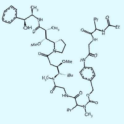 CCC(=O)NC(C(=O)NCC(=O)Nc1ccc(COC(=O)N(C)C(C(=O)NCC(=O)N(C)[C@H]([C@@H](C)CC)[C@@H](CC(=O)N2CCC[C@H]2[C@H](OC)[C@@H](C)C(=O)N[C@H](C)[C@@H](O)c2ccccc2)OC)C(C)C)cc1)C(C)C